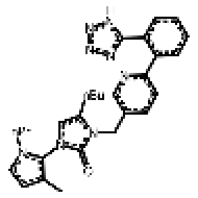 CCCCc1cn(-c2c(C)ccn2CCC)c(=O)n1Cc1ccc(-c2ccccc2-c2nnn[nH]2)nc1